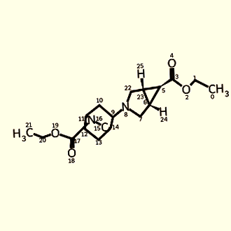 CCOC(=O)[C@H]1[C@@H]2CN(C3CC4CCC3CN4C(=O)OCC)C[C@@H]21